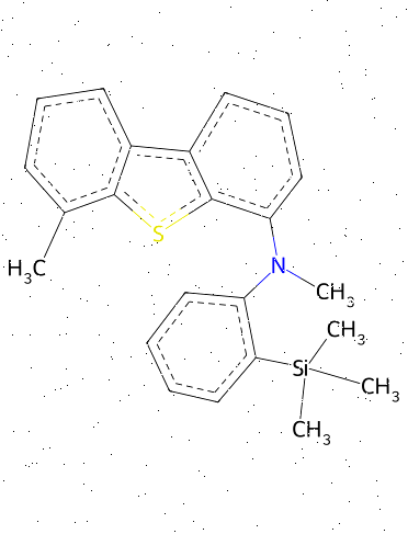 Cc1cccc2c1sc1c(N(C)c3ccccc3[Si](C)(C)C)cccc12